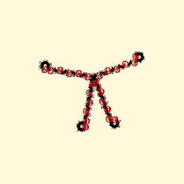 C1CCC(OCCOCCOCCOCCOCC(COCCOCCOCCOCCOC2CCCCO2)(COCCOCCOCCOCCOC2CCCCO2)COCCOCCOCCOCCOC2CCCCO2)OC1